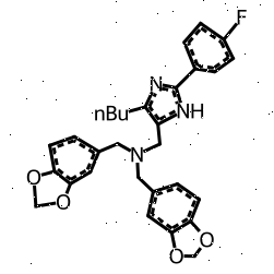 CCCCc1nc(-c2ccc(F)cc2)[nH]c1CN(Cc1ccc2c(c1)OCO2)Cc1ccc2c(c1)OCO2